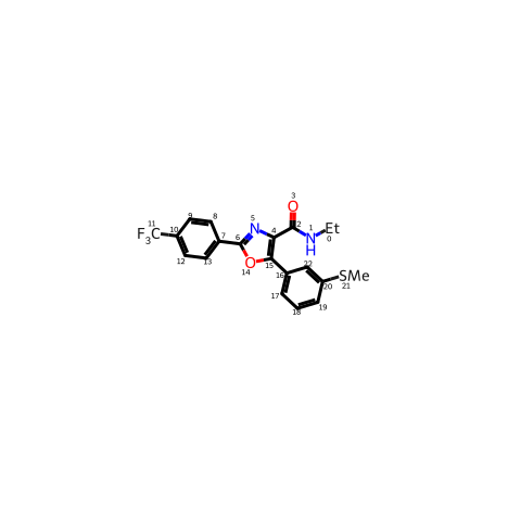 CCNC(=O)c1nc(-c2ccc(C(F)(F)F)cc2)oc1-c1cccc(SC)c1